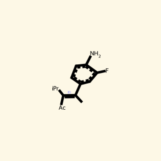 CC(=O)/C(=C(\C)c1ccc(N)c(F)c1)C(C)C